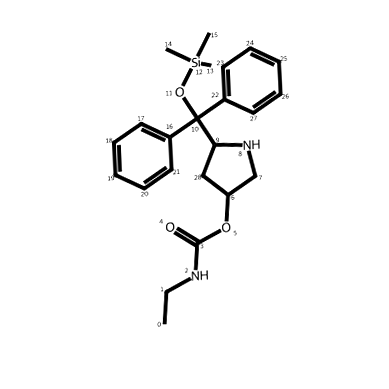 CCNC(=O)OC1CNC(C(O[Si](C)(C)C)(c2ccccc2)c2ccccc2)C1